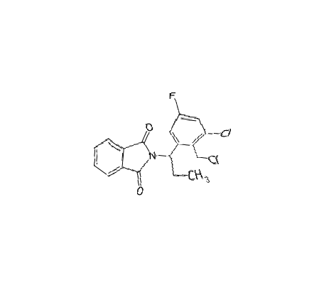 CCC(c1cc(F)cc(Cl)c1CCl)N1C(=O)c2ccccc2C1=O